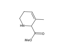 COC(=O)C1NCCC=C1C